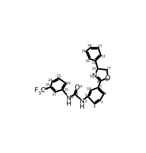 O=C(Nc1cccc(C2=NC(c3ccccc3)CO2)c1)Nc1cccc(C(F)(F)F)c1